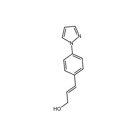 OCC=Cc1ccc(-n2cccn2)cc1